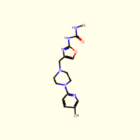 CCNC(=O)Nc1nc(CN2CCN(c3ccc(C#N)cn3)CC2)co1